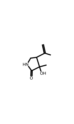 C=C(C)C1CNC(=O)C1(C)O